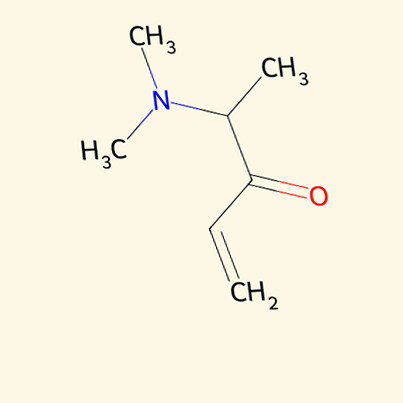 C=CC(=O)C(C)N(C)C